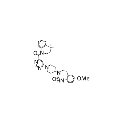 COc1ccc2c(c1)CCN(C1CCN(c3cc(C(=O)N4CCC(C)(C)c5ccccc54)ncn3)CC1)C(=O)N2